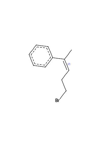 C/C(=C/CCBr)c1ccccc1